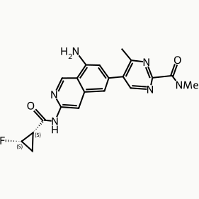 CNC(=O)c1ncc(-c2cc(N)c3cnc(NC(=O)[C@@H]4C[C@@H]4F)cc3c2)c(C)n1